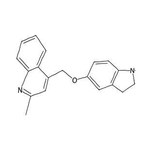 Cc1cc(COc2ccc3c(c2)CC[N]3)c2ccccc2n1